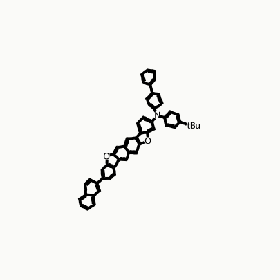 CC(C)(C)c1ccc(N(c2ccc(-c3ccccc3)cc2)c2ccc3c(c2)oc2cc4cc5c(cc4cc23)oc2cc(-c3ccc4ccccc4c3)ccc25)cc1